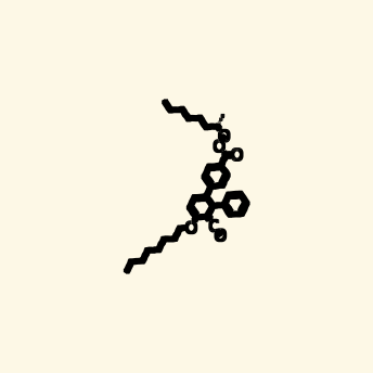 CCCCCCCCOC1=CC=C(c2ccc(C(=O)OO[C@@H](C)CCCCCC)cc2)C(c2ccccc2)C1=C=O